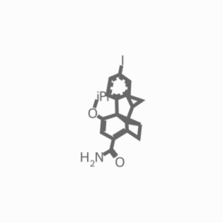 CC(C)OC1=CC(C(N)=O)=C2CC3C1(c1ccc(I)cc1)C23C1CC1